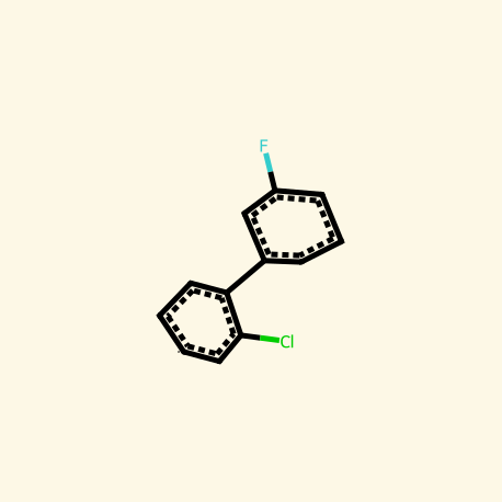 Fc1cccc(-c2cc[c]cc2Cl)c1